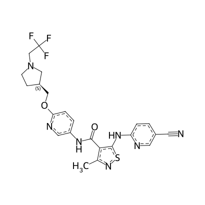 Cc1nsc(Nc2ccc(C#N)cn2)c1C(=O)Nc1ccc(OC[C@H]2CCN(CC(F)(F)F)C2)nc1